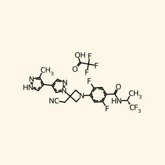 Cc1n[nH]cc1-c1cnn(C2(CC#N)CN(c3cc(F)c(C(=O)N[C@@H](C)C(F)(F)F)cc3F)C2)c1.O=C(O)C(F)(F)F